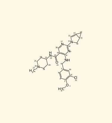 COc1ccc(CNc2nc(N3C=C4CC4C3)ncc2C(=O)NC2CCN(C)CC2)cc1Cl